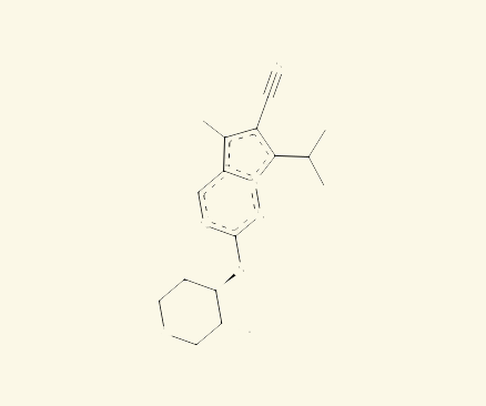 CC(C)c1c(C#N)c(F)c2cnc(N[C@@H]3CCOC[C@H]3F)nn12